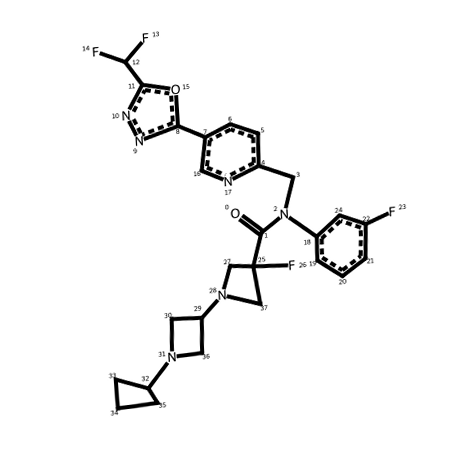 O=C(N(Cc1ccc(-c2nnc(C(F)F)o2)cn1)c1cccc(F)c1)C1(F)CN(C2CN(C3CCC3)C2)C1